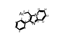 CC(=O)Cc1c(-c2ccccc2)nc2ccccn12